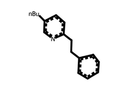 CCCCc1ccc(CCc2ccccc2)nc1